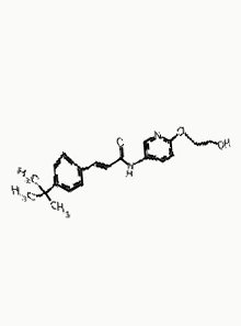 CC(C)(C)c1ccc(/C=C/C(=O)Nc2ccc(OCCO)nc2)cc1